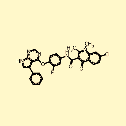 Cc1c(C(=O)Nc2ccc(Oc3ncnc4[nH]cc(-c5ccccc5)c34)c(F)c2)c(=O)c2ccc(Cl)cc2n1C